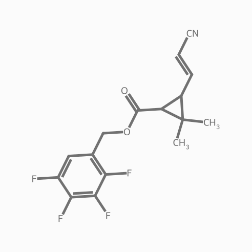 CC1(C)C(C=CC#N)C1C(=O)OCc1cc(F)c(F)c(F)c1F